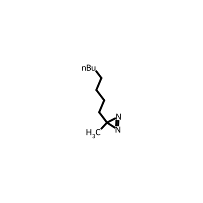 CCCCCCCCC1(C)N=N1